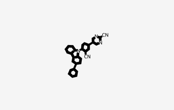 N#Cc1ncc(-c2ccc(-n3c4ccccc4c4cc(-c5ccccc5)ccc43)c(C#N)c2)cn1